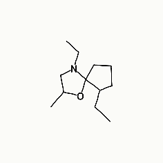 CCC1CCCC12OC(C)CN2CC